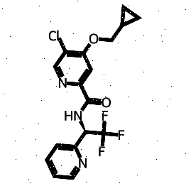 O=C(N[C@H](c1ccccn1)C(F)(F)F)c1cc(OCC2CC2)c(Cl)cn1